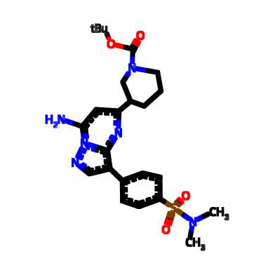 CN(C)S(=O)(=O)c1ccc(-c2cnn3c(N)cc(C4CCCN(C(=O)OC(C)(C)C)C4)nc23)cc1